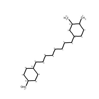 CC1CCC(CCCCCCCCC2CCC(C=O)CC2)CC1C